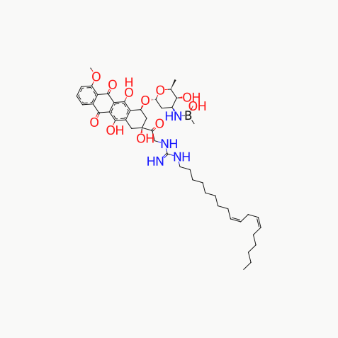 CCCCC/C=C\C/C=C\CCCCCCCCNC(=N)NCC(=O)[C@]1(O)Cc2c(O)c3c(c(O)c2[C@@H](O[C@H]2C[C@H](NB(C)O)[C@H](O)[C@H](C)O2)C1)C(=O)c1c(OC)cccc1C3=O